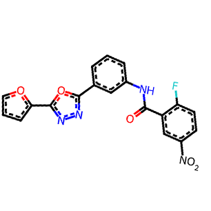 O=C(Nc1cccc(-c2nnc(-c3ccco3)o2)c1)c1cc([N+](=O)[O-])ccc1F